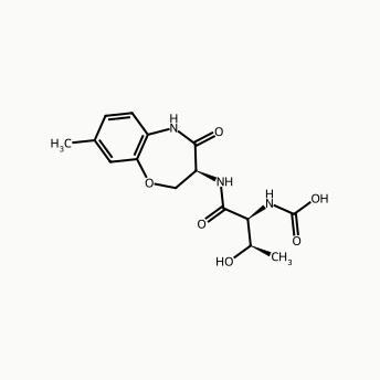 Cc1ccc2c(c1)OC[C@H](NC(=O)[C@@H](NC(=O)O)[C@@H](C)O)C(=O)N2